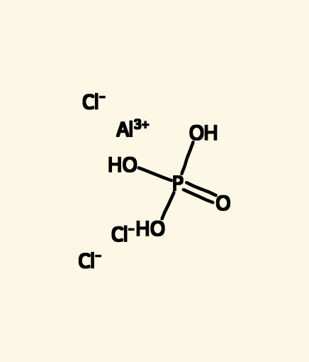 O=P(O)(O)O.[Al+3].[Cl-].[Cl-].[Cl-]